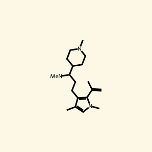 C=C(C)c1c(CCC(NC)C2CCN(C)CC2)c(C)cn1C